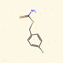 NC(=S)SCc1ccc(F)cc1